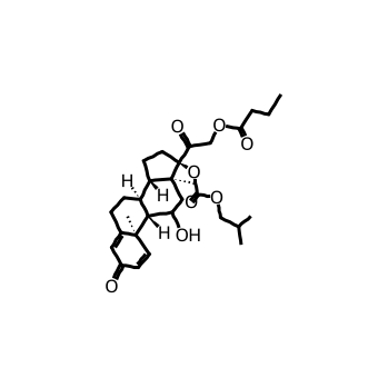 CCCC(=O)OCC(=O)[C@@]1(OC(=O)OCC(C)C)CC[C@H]2[C@@H]3CCC4=CC(=O)C=C[C@]4(C)[C@H]3C(O)C[C@@]21C